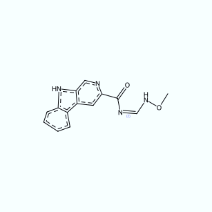 CON/C=N\C(=O)c1cc2c(cn1)[nH]c1ccccc12